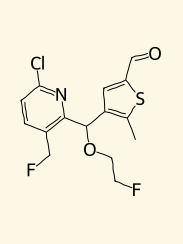 Cc1sc(C=O)cc1C(OCCF)c1nc(Cl)ccc1CF